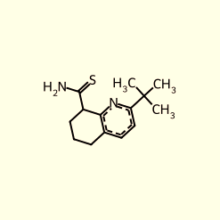 CC(C)(C)c1ccc2c(n1)C(C(N)=S)CCC2